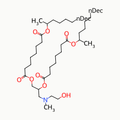 CCCCCCCCCCCCCCC(C)OC(=O)CCCCCCC(=O)OCC(CN(C)CCO)OC(=O)CCCCCCC(=O)OC(C)CCCCCCCCCCCCCC